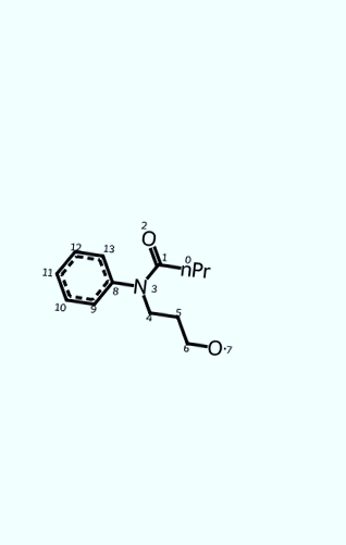 CCCC(=O)N(CCC[O])c1ccccc1